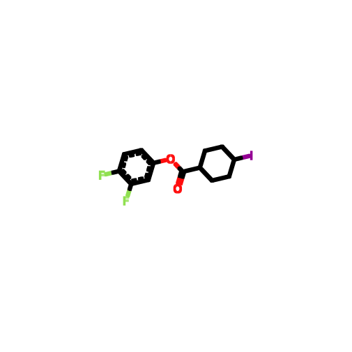 O=C(Oc1ccc(F)c(F)c1)C1CCC(I)CC1